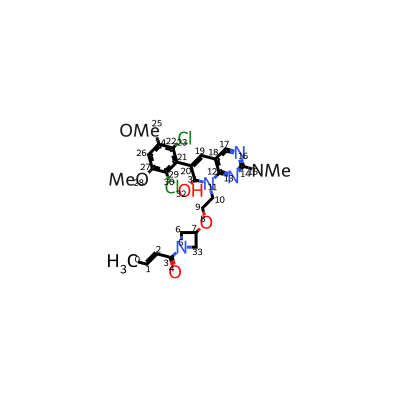 C/C=C/C(=O)N1CC(OCCN2c3nc(NC)ncc3C=C(c3c(Cl)c(OC)cc(OC)c3Cl)C2O)C1